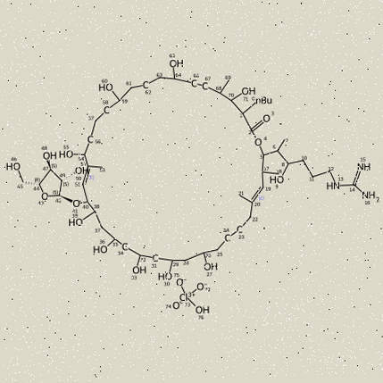 CCCCC1C(=O)OC(C(C)C(O)CCCNC(=N)N)C(C)/C=C(\C)CCCCC(O)CC(O)CC(O)CC(O)CC(O)C(O[C@H]2O[C@H](CO)[C@@H](O)[C@@H]2O)/C=C(\C)C(O)CCCC(O)CCCC(O)CCC(C)C1O.[O-][Cl+3]([O-])([O-])O